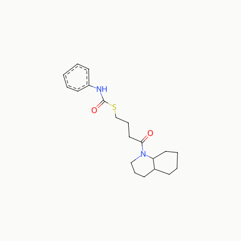 O=C(Nc1ccccc1)SCCCC(=O)N1CCCC2CCCCC21